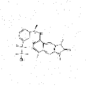 Cc1nnc(N[C@H](C)c2cccc(C(F)(F)C(C)(C)O)c2)c2cc3c(cc12)n(C)c(=O)n3C